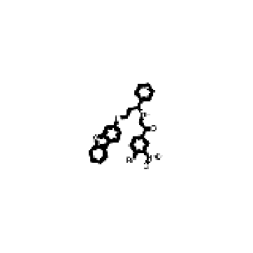 O=C(CNC(CCOc1ccc2c(c1)oc1ccccc12)c1ccccc1)c1ccc(Br)c([N+](=O)[O-])c1